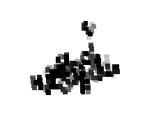 CP(C)(=O)c1ccccc1Nc1nc(Nc2ccc(OCF)c(NC(=O)C#CCCN3CCCCC3)c2)ncc1Cl